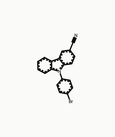 N#Cc1ccc2c(c1)c1ccccc1n2-c1ccc(Br)cc1